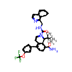 CC(C)(C)C1c2c(C(N)=O)ccc(-c3cccc(OC(F)(F)F)c3)c2CCN1C(=O)NCc1nccc2ccccc12